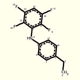 CCc1ccc(Nc2c(F)c(F)cc(F)c2F)cc1